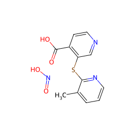 Cc1cccnc1Sc1cnccc1C(=O)O.O=NO